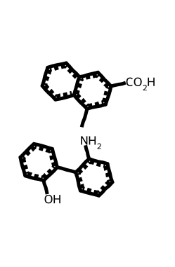 Cc1cc(C(=O)O)cc2ccccc12.Nc1ccccc1-c1ccccc1O